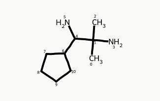 CC(C)(N)C(N)C1CCCC1